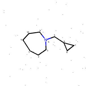 [CH]1CCCN(CC2CC2)CC1